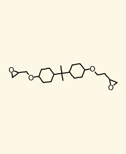 CC(C)(C1CCC(OCCC2CO2)CC1)C1CCC(OCC2CO2)CC1